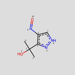 CC(C)(O)c1n[nH]cc1N=O